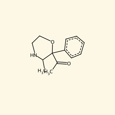 CC(=O)C1(c2ccccc2)OCCNC1C